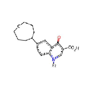 CCn1cc(C(=O)O)c(=O)c2cc(C3CCCCCCC3)ccc21